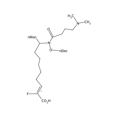 CCCCCCCCCCON(C(=O)CCCN(C)C)C(CCCCC/C=C(\F)C(=O)O)CCCCCCCCC